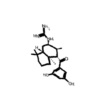 C[C@@H]1[C@H](NC(=N)N)C[C@H]2C(C)(C)CCC[C@]2(C)[C@H]1C(=O)c1cc(O)cc(O)c1